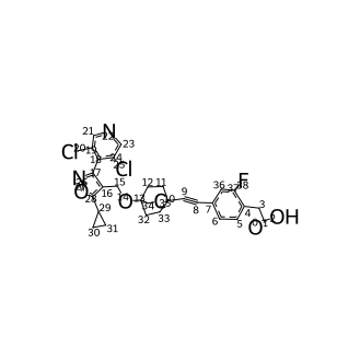 O=C(O)Cc1ccc(C#CC23CCC(OCc4c(-c5c(Cl)cncc5Cl)noc4C4CC4)(CC2)CC3)cc1F